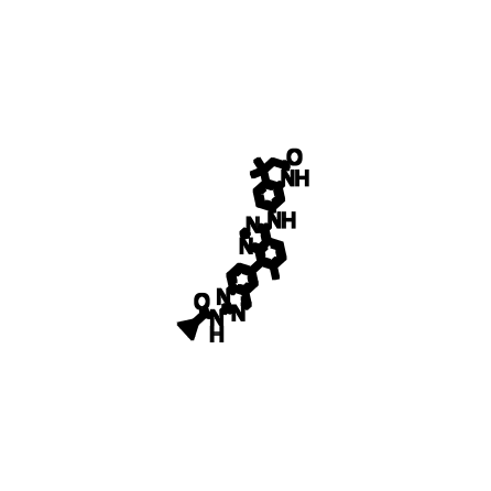 Cc1ccc2c(Nc3ccc4c(c3)NC(=O)CC4(C)C)ncnc2c1-c1ccc2nc(NC(=O)C3CC3)ncc2c1